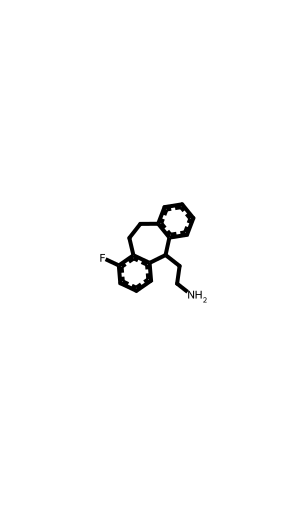 NCCC1c2ccccc2CCc2c(F)cccc21